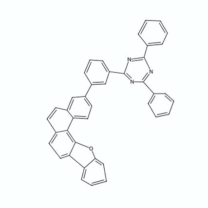 c1ccc(-c2nc(-c3ccccc3)nc(-c3cccc(-c4ccc5c(ccc6ccc7c8ccccc8oc7c65)c4)c3)n2)cc1